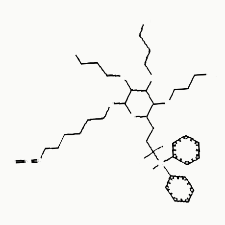 CCCCOC1C(CCC(C)(C)[Si](O)(c2ccccc2)c2ccccc2)OC(OCCCCCCN=[N+]=[N-])C(OCCCC)C1OCCCC